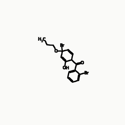 CCCOC1(Br)C=CC(C(=O)c2ccccc2Br)C(O)=C1